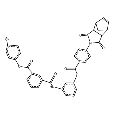 CC(=O)c1ccc(OC(=O)c2cccc(C(=O)Nc3cccc(OC(=O)c4ccc(N5C(=O)C6C7C=CC(C7)C6C5=O)cc4)c3)c2)cc1